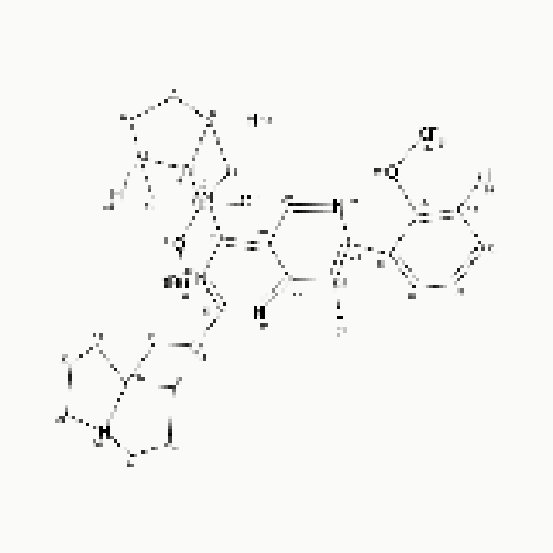 CC(C)(C)OC(=O)N1[C@@H]2CC[C@H]1CN(c1nc(OCC34CCCN3CCC4)nc3c(F)c(-c4cccc(Cl)c4OC(F)(F)F)ncc13)C2